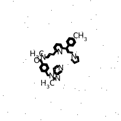 Cc1ccc(C(=CCN2CCCC2)c2cccc(CC=CN(C)C(=O)c3ccc(Cn4c(C)nc5cnccc54)cc3)n2)cc1